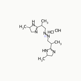 CC1CN=C(C(C)C/N=N/CC(C)C2=NCC(C)N2)N1.Cl.Cl